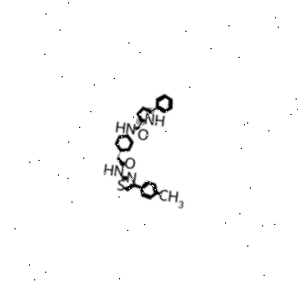 Cc1ccc(-c2csc(NC(=O)C[C@H]3CC[C@@H](NC(=O)[C@H]4CC[C@@H](c5ccccc5)N4)CC3)n2)cc1